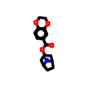 CN1C2CCC1CC(OC(=O)c1ccc3c(c1)OCCO3)C2